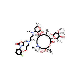 CC[C@H]1OC(=O)[C@H](C)[C@@H](O[C@H]2C[C@@](C)(OC)[C@@H](O)[C@H](C)O2)[C@H](C)[C@@H](O[C@@H]2O[C@H](C)C[C@H](N(C)CCCN(CCCO)C[C@H]3CN(c4cccc(F)c4)C(=O)O3)[C@H]2O)[C@](C)(O)C[C@@H](C)CN(C)[C@H](C)[C@@H](O)[C@]1(C)O